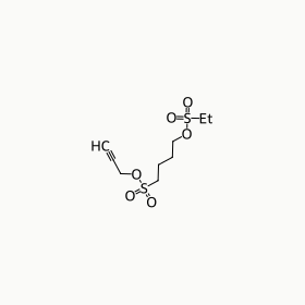 C#CCOS(=O)(=O)CCCCOS(=O)(=O)CC